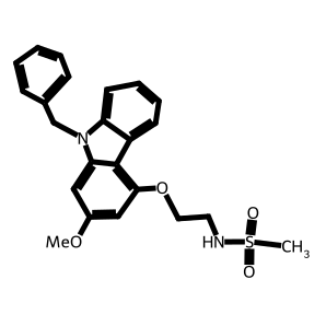 COc1cc(OCCNS(C)(=O)=O)c2c3ccccc3n(Cc3ccccc3)c2c1